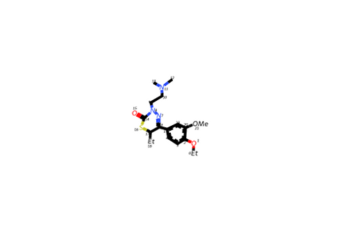 CCOc1ccc(C2=NN(CCN(C)C)C(=O)SC2CC)cc1OC